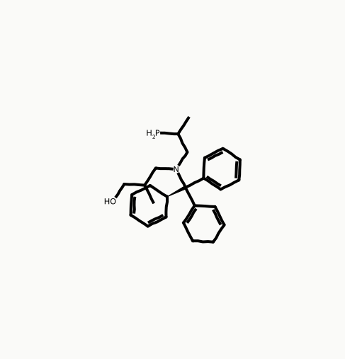 CC(P)CN(CC(C)CO)C(C1=CCCC=C1)(c1ccccc1)[C@H]1C=CC=CC1